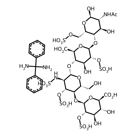 CC(=O)N[C@@H]1[C@@H](O)[C@H](O[C@@H]2O[C@H](C(=O)O)[C@@H](O[C@@H]3O[C@H](CO)[C@@H](O[C@H]4O[C@@H](C(=O)O)[C@H](O)[C@@H](O)[C@@H]4OS(=O)(=O)O)[C@H](OS(=O)(=O)O)[C@H]3NS(=O)(=O)O)[C@H](O)[C@H]2OS(=O)(=O)O)[C@H](COS(=O)(=O)O)O[C@H]1O.NC(N)(c1ccccc1)c1ccccc1